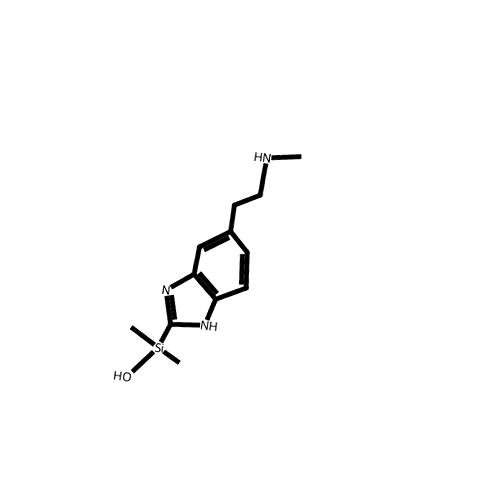 CNCCc1ccc2[nH]c([Si](C)(C)O)nc2c1